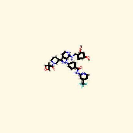 COc1ccc(CNc2nccc3c(C4CCCN(C(=O)C5(C)COC5)C4)nn(-c4ccc(C(=O)Nc5cc(C(F)(F)F)ccn5)cc4)c23)c(OC)c1